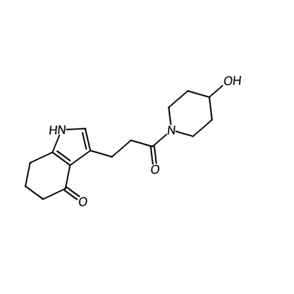 O=C1CCCc2[nH]cc(CCC(=O)N3CCC(O)CC3)c21